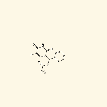 CC(=O)OC(c1ccccc1)n1cc(F)c(=O)[nH]c1=O